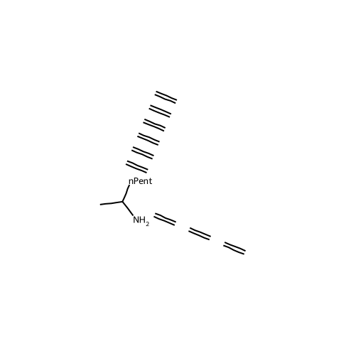 C=C.C=C.C=C.C=C.C=C.C=C.C=C.C=C.C=C.CCCCCC(C)N